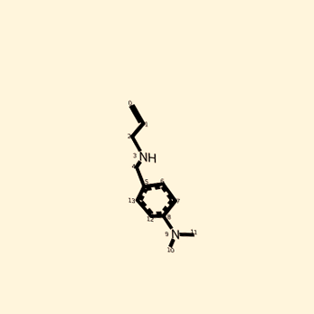 C=CCNCc1ccc(N(C)C)cc1